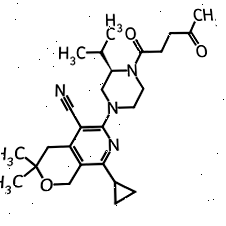 CC(=O)CCC(=O)N1CCN(c2nc(C3CC3)c3c(c2C#N)CC(C)(C)OC3)C[C@H]1C(C)C